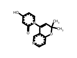 CC1(C)C=C(n2ccc(O)cc2=O)c2cnccc2O1